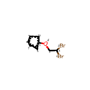 BrC(Br)COc1ccccc1